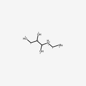 CCCCC[SiH2]C(O)C(O)CO